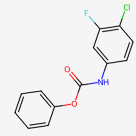 O=C(Nc1ccc(Cl)c(F)c1)Oc1ccccc1